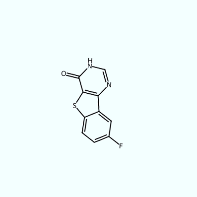 O=c1[nH]cnc2c1sc1ccc(F)cc12